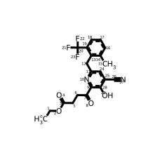 CCOC(=O)CCC(=O)c1nc(Cc2c(C)cccc2C(F)(F)F)cc(C#N)c1O